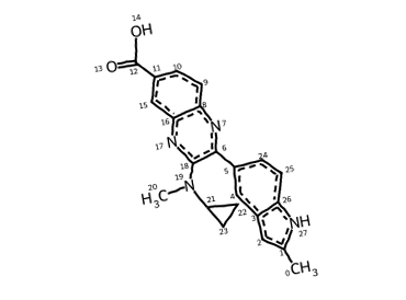 Cc1cc2cc(-c3nc4ccc(C(=O)O)cc4nc3N(C)C3CC3)ccc2[nH]1